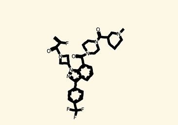 C=C(F)C(=O)N1CC(n2nc(-c3ccc(C(F)(F)F)cc3)c3cccc(C(=O)N4CCN(C(=O)C5CCCN(C)C5)CC4)c32)C1